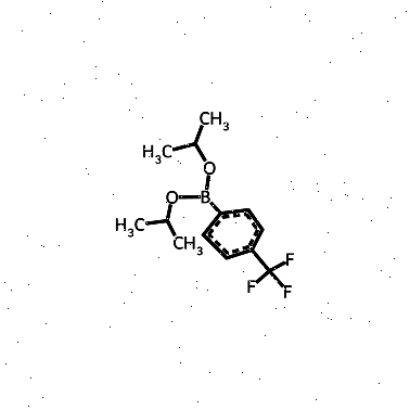 CC(C)OB(OC(C)C)c1ccc(C(F)(F)F)cc1